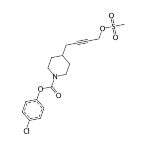 CS(=O)(=O)OCC#CCC1CCN(C(=O)Oc2ccc(Cl)cc2)CC1